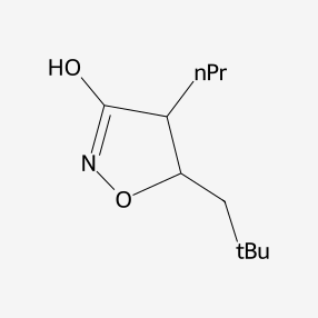 CCCC1C(O)=NOC1CC(C)(C)C